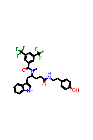 CN(C(=O)c1cc(C(F)(F)F)cc(C(F)(F)F)c1)C(CCC(=O)NCCc1ccc(O)cc1)Cc1c[nH]c2ccccc12